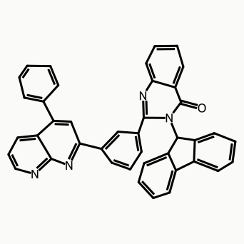 O=c1c2ccccc2nc(-c2cccc(-c3cc(-c4ccccc4)c4cccnc4n3)c2)n1C1c2ccccc2-c2ccccc21